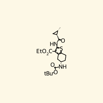 CCOC(=O)c1c(NC(=O)[C@H]2C[C@@H]2C)sc2c1C[C@@H](NC(=O)OC(C)(C)C)CC2